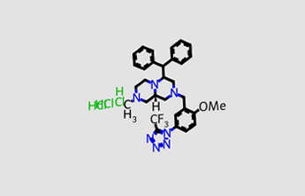 COc1ccc(-n2nnnc2C(F)(F)F)cc1CN1CC(C(c2ccccc2)c2ccccc2)N2CCN(C)C[C@H]2C1.Cl.Cl.Cl